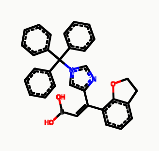 OB(O)/C=C(\c1cn(C(c2ccccc2)(c2ccccc2)c2ccccc2)cn1)c1cccc2c1OCC2